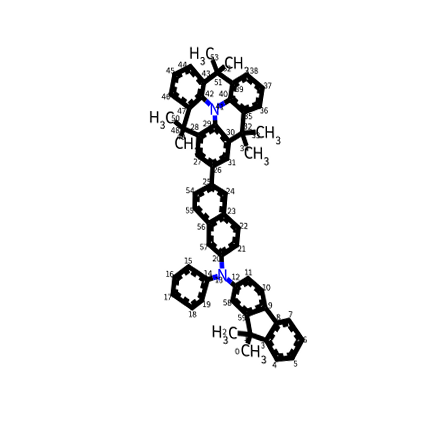 CC1(C)c2ccccc2-c2ccc(N(c3ccccc3)c3ccc4cc(-c5cc6c7c(c5)C(C)(C)c5cccc8c5N7c5c(cccc5C6(C)C)C8(C)C)ccc4c3)cc21